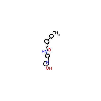 Cc1ccc(-c2cccc(C=CC(=O)Nc3ccc(CN4CCCC(O)C4)cc3)c2)cc1